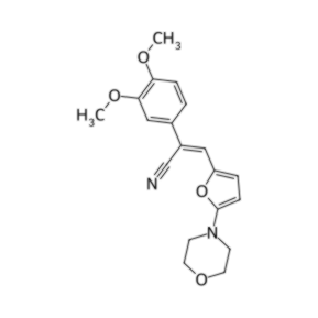 COc1ccc(/C(C#N)=C/c2ccc(N3CCOCC3)o2)cc1OC